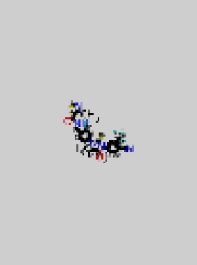 Cc1ncsc1C(=O)NCc1ccc(N2C(=S)N(c3ccc(C#N)c(C(F)(F)F)c3)C(=O)C2(C)C)cc1F